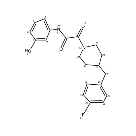 O=C(Nc1cccc(O)c1)C(=O)N1CCC(Cc2ccc(F)cc2)CC1